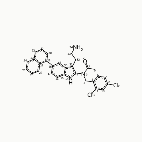 CC(=O)N(Cc1ccc(Cl)cc1Cl)c1[nH]c2ccc(-c3cccc4ccccc34)cc2c1CCN